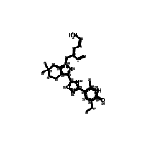 C=C/C(=C\C=C/N)Cn1nc(-c2nc(-c3cc(CC)c(=O)[nH]c3C)no2)c2c1CC(C)(C)CC2